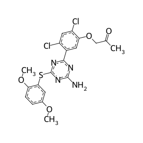 COc1ccc(OC)c(Sc2nc(N)nc(-c3cc(OCC(C)=O)c(Cl)cc3Cl)n2)c1